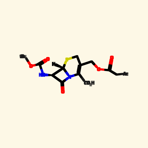 CC(=O)CC(=O)OCC1=C(C(=O)O)N2C(=O)[C@@H](NC(=O)OC(C)(C)C)[C@@H]2SC1